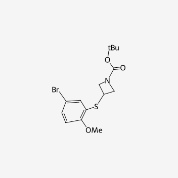 COc1ccc(Br)cc1SC1CN(C(=O)OC(C)(C)C)C1